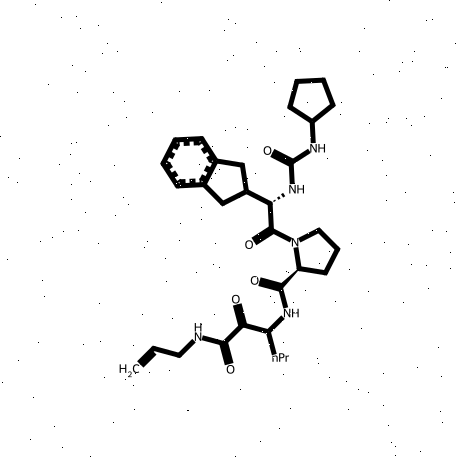 C=CCNC(=O)C(=O)C(CCC)NC(=O)[C@@H]1CCCN1C(=O)[C@@H](NC(=O)NC1CCCC1)C1Cc2ccccc2C1